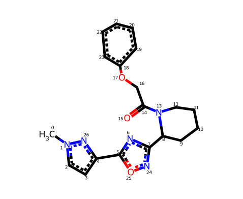 Cn1ccc(-c2nc(C3CCCCN3C(=O)COc3ccccc3)no2)n1